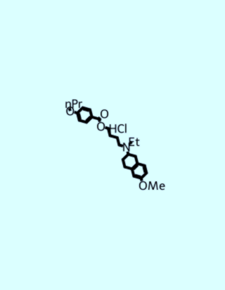 CCCOc1ccc(C(=O)OCCCCN(CC)C2CCc3cc(OC)ccc3C2)cc1.Cl